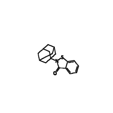 O=c1c2ccccc2sn1C12CC3CC(CC(C3)C1)C2